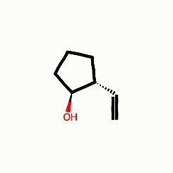 C=C[C@H]1CCC[C@@H]1O